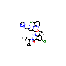 Cc1cc(Cl)cc(C(=O)NC(C)C2CC2)c1NC(=O)c1cc(Cn2nccn2)nn1-c1ncccc1Cl